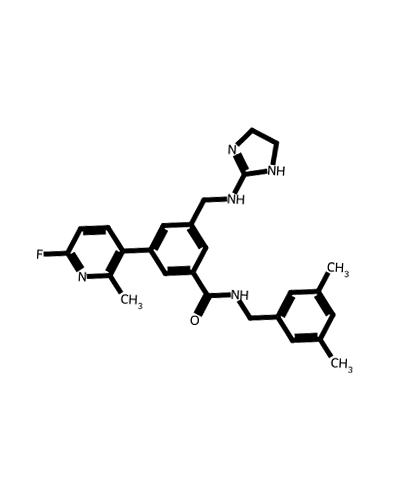 Cc1cc(C)cc(CNC(=O)c2cc(CNC3=NCCN3)cc(-c3ccc(F)nc3C)c2)c1